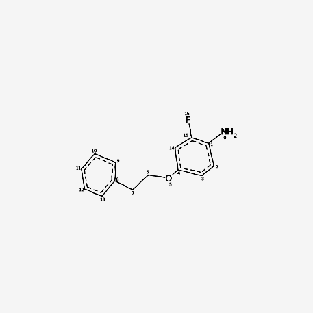 Nc1ccc(OCCc2ccccc2)cc1F